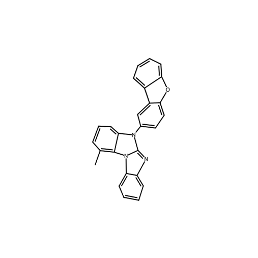 Cc1cccc2c1n1c3ccccc3nc1n2-c1ccc2oc3ccccc3c2c1